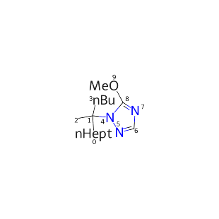 CCCCCCCC(C)(CCCC)n1ncnc1OC